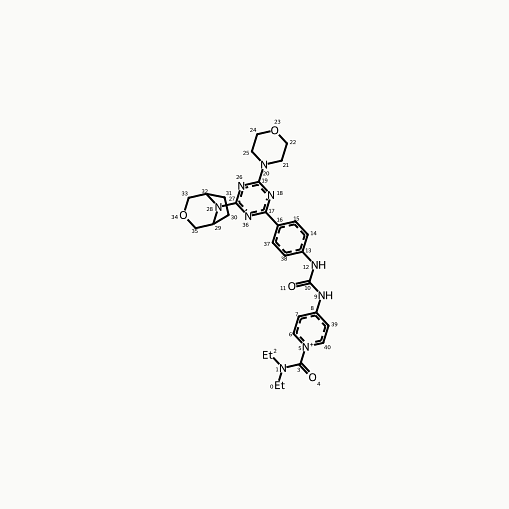 CCN(CC)C(=O)[n+]1ccc(NC(=O)Nc2ccc(-c3nc(N4CCOCC4)nc(N4C5CCC4COC5)n3)cc2)cc1